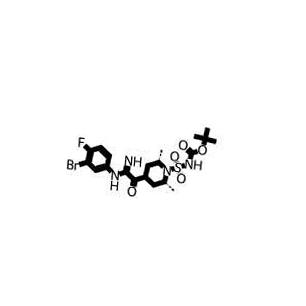 C[C@@H]1CC(C(=O)C(=N)Nc2ccc(F)c(Br)c2)C[C@H](C)N1S(=O)(=O)NC(=O)OC(C)(C)C